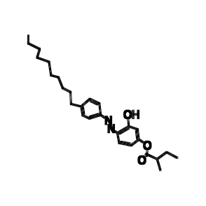 CCCCCCCCCCc1ccc(N=Nc2ccc(OC(=O)C(C)CC)cc2O)cc1